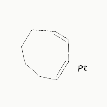 C1=CCCCCC=C1.[Pt]